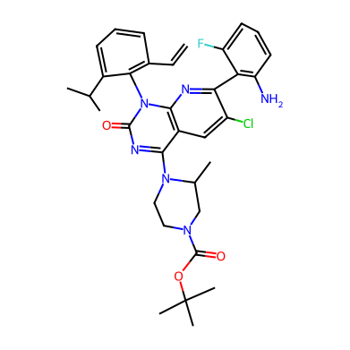 C=Cc1cccc(C(C)C)c1-n1c(=O)nc(N2CCN(C(=O)OC(C)(C)C)CC2C)c2cc(Cl)c(-c3c(N)cccc3F)nc21